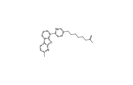 C=C(C)CCCCCCc1ccc(-c2cccc3c2oc2nc(C)ccc23)nc1